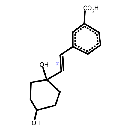 O=C(O)c1cccc(/C=C/C2(O)CCC(O)CC2)c1